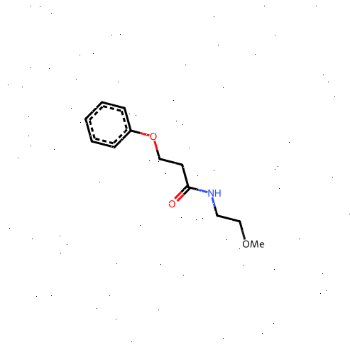 COCCNC(=O)CCOc1ccccc1